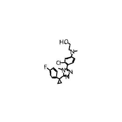 CN(CCO)c1ccc(-c2nnc(C3(c4ccc(F)cc4)CC3)n2C)c(Cl)c1